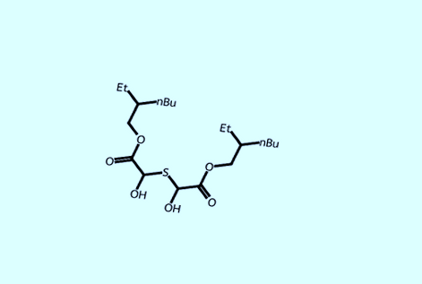 CCCCC(CC)COC(=O)C(O)SC(O)C(=O)OCC(CC)CCCC